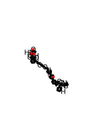 O=C1CC[C@@H](N2C(=O)c3cccc(NCCOCCOCCN4CCN(c5ccc(-c6ccc7c(c6)C(=O)N(C(C(=O)Nc6nccs6)c6ccccc6)C7)cc5)CC4)c3C2=O)C(=O)N1